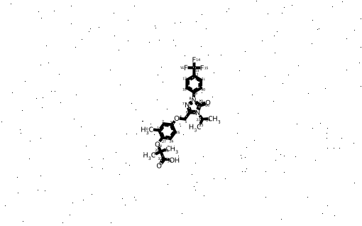 Cc1cc(OCc2nn(-c3ccc(C(F)(F)F)cc3)c(=O)n2C(C)C)ccc1OC(C)(C)C(=O)O